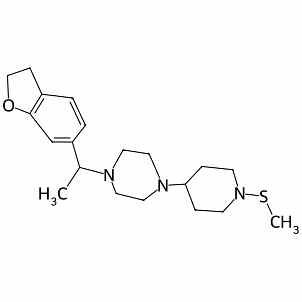 CSN1CCC(N2CCN(C(C)c3ccc4c(c3)OCC4)CC2)CC1